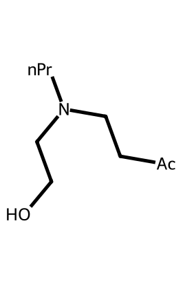 CCCN(CCO)CCC(C)=O